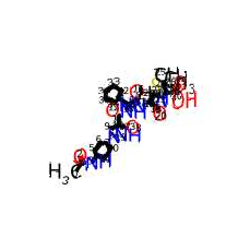 CC(=O)Nc1ccc(-n2cc(C(=O)NC(C(=O)N[C@@H]3C(=O)N4[C@@H]3SC(C)(C)[C@@H]4C(=O)O)c3ccccc3)c(=O)[nH]2)cc1